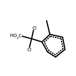 Cc1ccccc1C(Cl)(Cl)C(=O)O